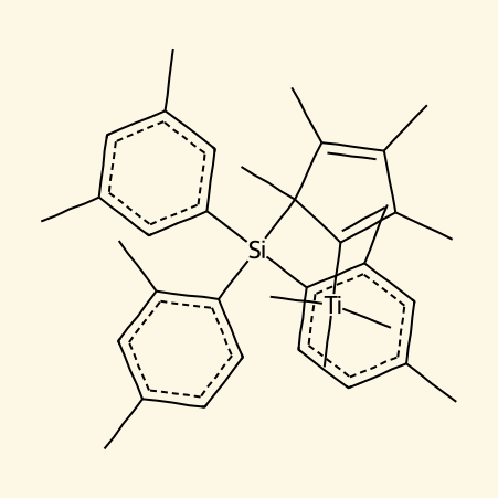 CC1=C(C)C(C)([Si](c2cc(C)cc(C)c2)(c2ccc(C)cc2C)c2ccc(C)cc2C)[C]([Ti]([CH3])([CH3])[CH3])=C1C